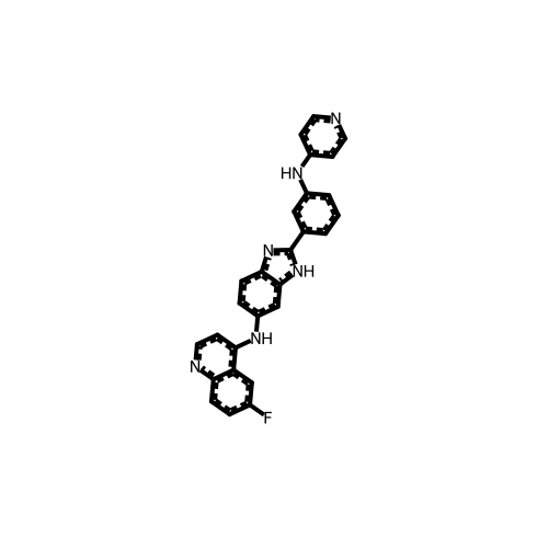 Fc1ccc2nccc(Nc3ccc4nc(-c5cccc(Nc6ccncc6)c5)[nH]c4c3)c2c1